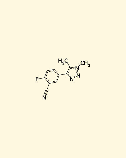 Cc1c(-c2ccc(F)c(C#N)c2)nnn1C